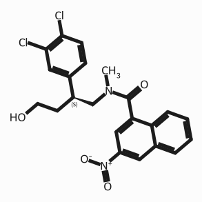 CN(C[C@@H](CCO)c1ccc(Cl)c(Cl)c1)C(=O)c1cc([N+](=O)[O-])cc2ccccc12